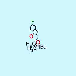 CC(C)(C)[Si](C)(C)OCCC1Cc2cc(F)ccc2C1=O